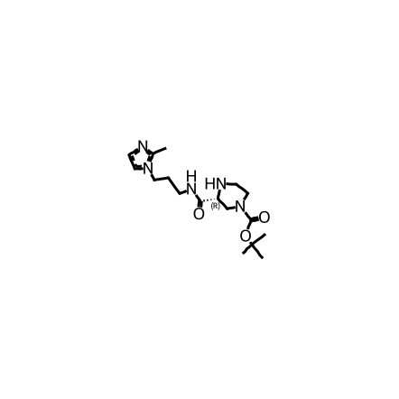 Cc1nccn1CCCNC(=O)[C@H]1CN(C(=O)OC(C)(C)C)CCN1